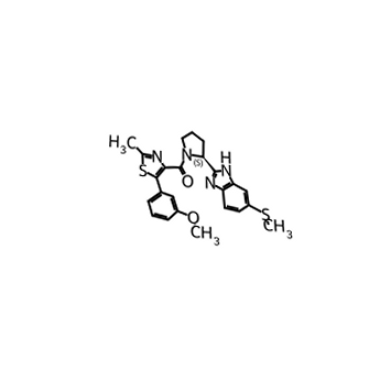 COc1cccc(-c2sc(C)nc2C(=O)N2CCC[C@H]2c2nc3ccc(SC)cc3[nH]2)c1